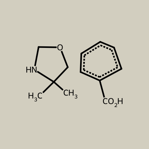 CC1(C)COCN1.O=C(O)c1ccccc1